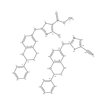 COC(=O)c1sc(Oc2ccc3c(c2)CCC(c2ccccc2)O3)nc1Cl.N#Cc1cnc(Oc2ccc3c(c2)CCC(c2ccccc2)O3)s1